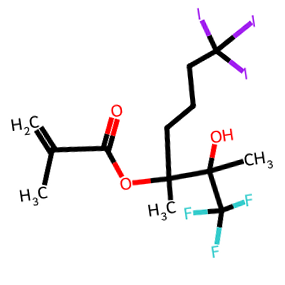 C=C(C)C(=O)OC(C)(CCCC(I)(I)I)C(C)(O)C(F)(F)F